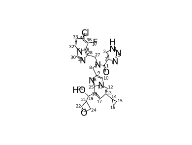 O=C(c1c[nH]nn1)N(Cc1cn2cc(C3CC3)cc(C(O)C3COC3)c2n1)Cc1ncn2ccc(Cl)c(F)c12